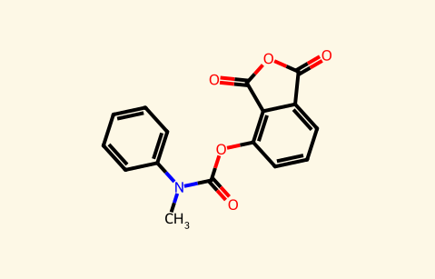 CN(C(=O)Oc1cccc2c1C(=O)OC2=O)c1ccccc1